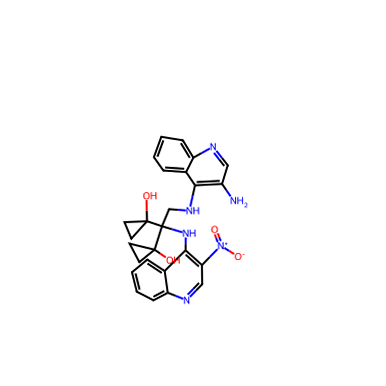 Nc1cnc2ccccc2c1NCC(Nc1c([N+](=O)[O-])cnc2ccccc12)(C1(O)CC1)C1(O)CC1